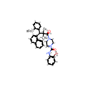 COc1ccccc1C(c1cccc2ccccc12)C(C)(C#N)C(=O)N1CCN(C(=O)Nc2ccccc2Br)CC1